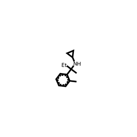 CCC(C)(NC1CC1)c1ccccc1C